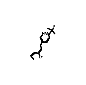 C/C=C\C(=C/CC(/C=C\CC(C)(C)F)=C/NC)CC